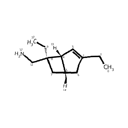 CCC1=C[C@@H]2[C@H](C1)C[C@@]2(CC)CN